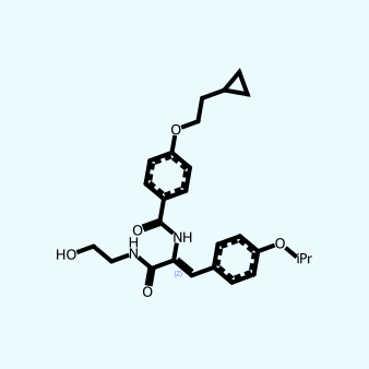 CC(C)Oc1ccc(/C=C(\NC(=O)c2ccc(OCCC3CC3)cc2)C(=O)NCCO)cc1